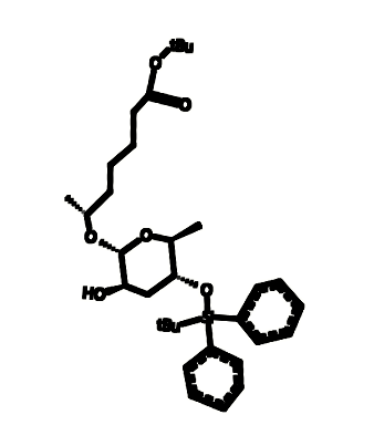 C[C@H](CCCCC(=O)OC(C)(C)C)O[C@@H]1O[C@@H](C)[C@H](O[Si](c2ccccc2)(c2ccccc2)C(C)(C)C)C[C@H]1O